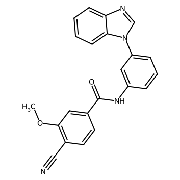 COc1cc(C(=O)Nc2cccc(-n3cnc4ccccc43)c2)ccc1C#N